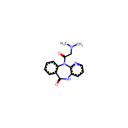 CN(C)CC(=O)N1c2ccccc2C(=O)Nc2cccnc21